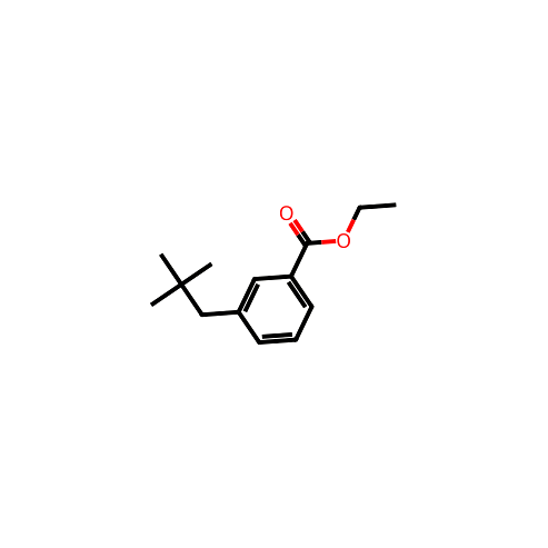 CCOC(=O)c1cccc(CC(C)(C)C)c1